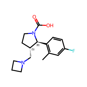 Cc1cc(F)ccc1[C@H]1[C@H](CN2CCC2)CCN1C(=O)O